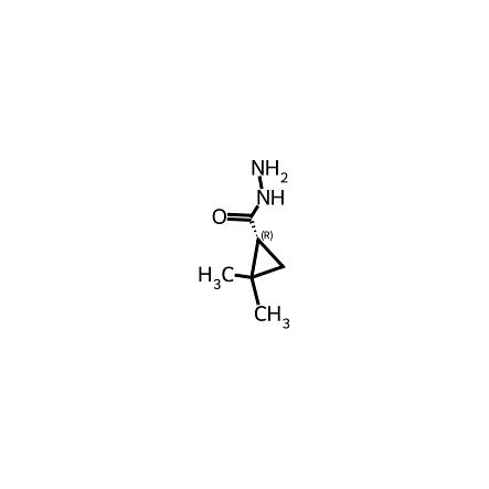 CC1(C)C[C@H]1C(=O)NN